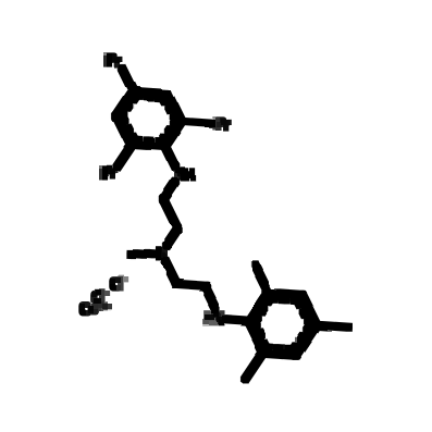 Cc1cc(C)c(NCCN(C)CCNc2c(C(C)C)cc(C(C)C)cc2C(C)C)c(C)c1.[Cl-].[Cl-].[Co+2]